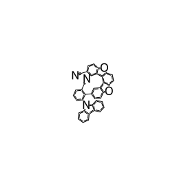 N#Cc1ccc2oc3ccc4oc5ccc(-c6c(C#N)cccc6-n6c7ccccc7c7ccccc76)cc5c4c3c2c1